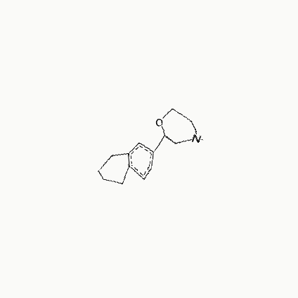 c1cc2c(cc1C1C[N]CCO1)CCCC2